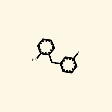 Fc1cccc(Cc2ccccc2S)c1